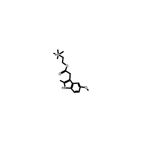 COc1ccc2[nH]c(C)c(CC(=O)OCC[SH](C)(C)(C)C)c2c1